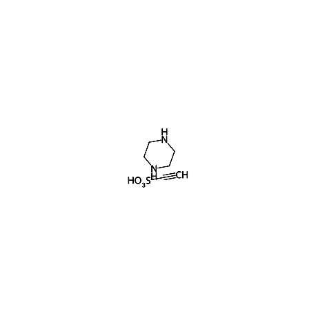 C#CS(=O)(=O)O.C1CNCCN1